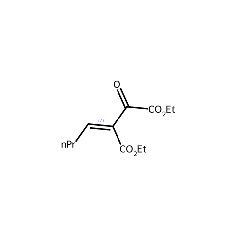 CCC/C=C(\C(=O)OCC)C(=O)C(=O)OCC